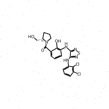 O=C(c1cccc(Nc2nsnc2Nc2cccc(Cl)c2Cl)c1O)N1CCC[C@H]1CO